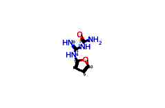 N=C(NC(N)=O)Nc1ccco1